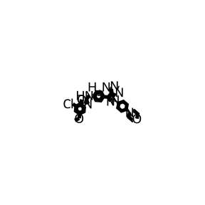 COc1cc(Cl)c2oc(Nc3ccc(-c4nn([C@H]5CC[C@H](N6CCOCC6)CC5)c5ncnc(N)c45)cc3)nc2c1